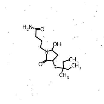 CCC(C)(CC)SC1CC(O)N(CCCC(N)=O)C1=O